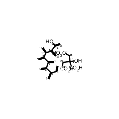 C=CC(=C)C(=C)C(=C)C(=C)C(=C)C(=C)C(=C)O.O=C(O)CC(O)(CC(=O)O)C(=O)O